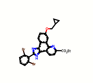 CCOC(=O)c1ccc2c(n1)c1cc(OCC3CC3)ccc1c1nc(-c3c(Br)cccc3Br)[nH]c21